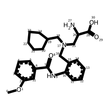 COc1cccc(C(=O)Nc2ccccc2CN(CC2CCCCC2)CC(N)C(=O)O)c1